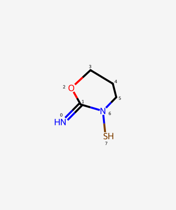 N=C1OCCCN1S